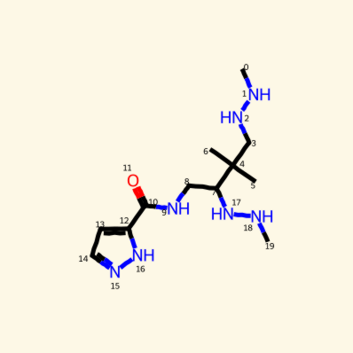 CNNCC(C)(C)C(CNC(=O)c1ccn[nH]1)NNC